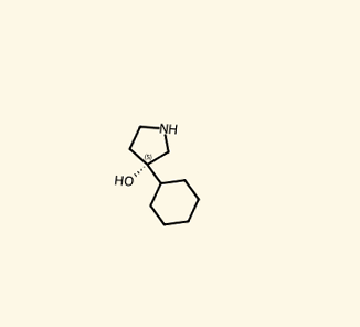 O[C@]1(C2CCCCC2)CCNC1